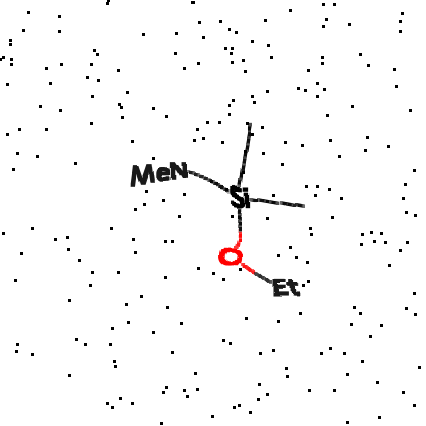 CCO[Si](C)(C)NC